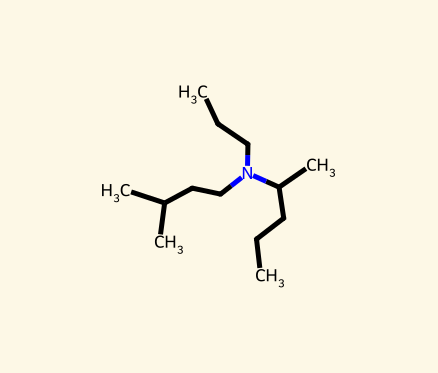 CCCC(C)N(CCC)CCC(C)C